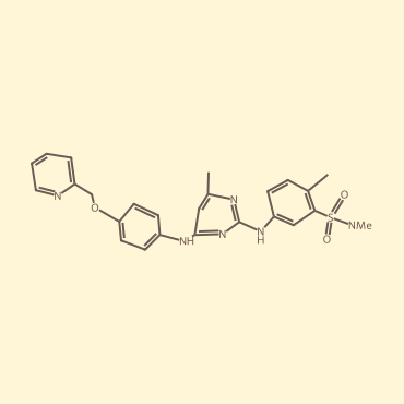 CNS(=O)(=O)c1cc(Nc2nc(C)cc(Nc3ccc(OCc4ccccn4)cc3)n2)ccc1C